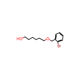 OCCCCCCOCc1ccccc1Br